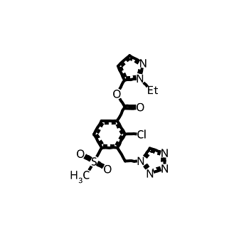 CCn1nccc1OC(=O)c1ccc(S(C)(=O)=O)c(Cn2cnnn2)c1Cl